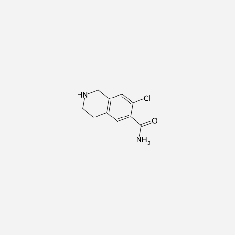 NC(=O)c1cc2c(cc1Cl)CNCC2